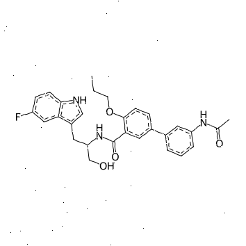 CCCOc1ccc(-c2cccc(NC(C)=O)c2)cc1C(=O)NC(CO)Cc1c[nH]c2ccc(F)cc12